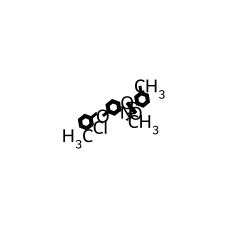 CCN(c1cccc(OCc2cccc(C)c2Cl)c1)S(=O)(=O)c1cccc(C)c1